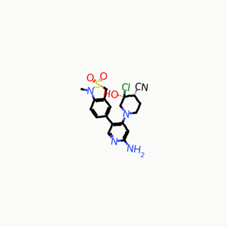 CN1c2ccc(-c3cnc(N)cc3N3CC[C@@H](C#N)[C@](O)(Cl)C3)cc2CS1(=O)=O